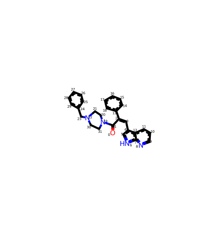 O=C(C(=Cc1c[nH]c2ncccc12)c1ccccc1)N1CCN(Cc2ccccc2)CC1